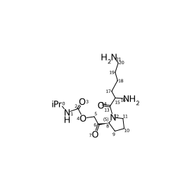 CC(C)NC(=O)OCC(=O)[C@@H]1CCCN1C(=O)C(N)CCCCN